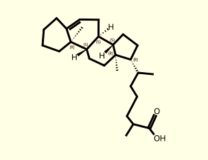 CC(CCCC(C)[C@H]1CC[C@H]2[C@@H]3CC=C4CCCC[C@]4(C)[C@H]3CC[C@]12C)C(=O)O